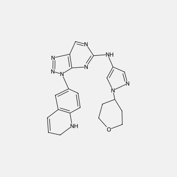 C1=Cc2cc(-n3nnc4cnc(Nc5cnn(C6CCOCC6)c5)nc43)ccc2NC1